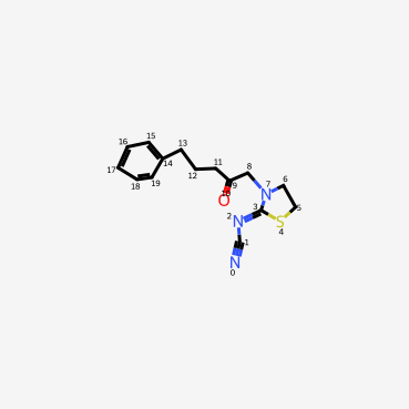 N#CN=C1SCCN1CC(=O)CCCc1ccccc1